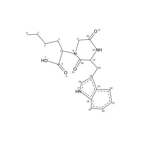 CCCCC(C(=O)O)N1CC(=O)NC(Cc2c[nH]c3ccccc23)C1=O